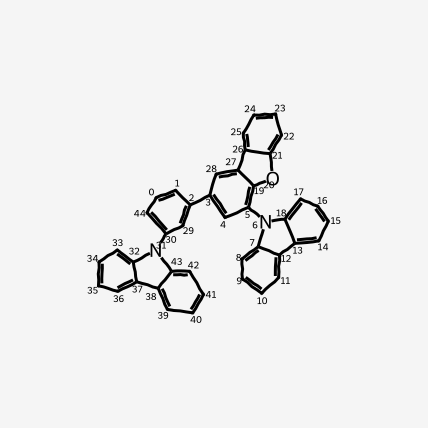 c1cc(-c2cc(-n3c4ccccc4c4ccccc43)c3oc4ccccc4c3c2)cc(-n2c3ccccc3c3ccccc32)c1